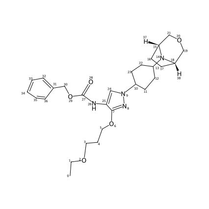 CCOCCCOc1nn(C2CCC(N3[C@@H]4CC[C@H]3COC4)CC2)cc1NC(=O)OCc1ccccc1